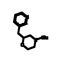 CC(C)(C)N1CCOC(Cc2[c]nccc2)C1